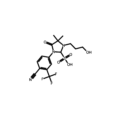 CC1(C)C(=O)N(c2ccc(C#N)c(C(F)(F)F)c2)C(S(=O)(=O)O)N1CCCO